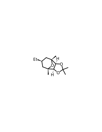 CC[C@H]1C[C@@]2(C)O[C@@](C)(C1)[C@@H]1OC(C)(C)O[C@@H]12